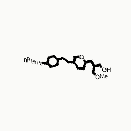 CCCCCC1CCC(CCC2CCC(CC(CO)COC)OC2)CC1